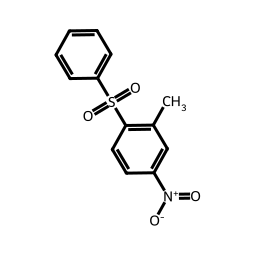 Cc1cc([N+](=O)[O-])ccc1S(=O)(=O)c1ccccc1